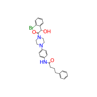 O=C(CCCc1ccccc1)Nc1ccc(N2CCN(C(=O)C(O)c3ccccc3Br)CC2)cc1